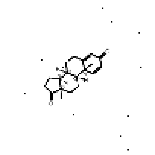 C[C@]12C=CC(=O)C=C1CC[C@@H]1[C@H]2CC[C@]2(C)C(=O)CC[C@@H]12